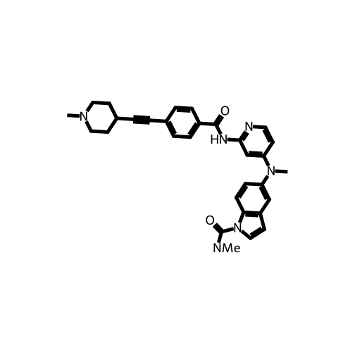 CNC(=O)n1ccc2cc(N(C)c3ccnc(NC(=O)c4ccc(C#CC5CCN(C)CC5)cc4)c3)ccc21